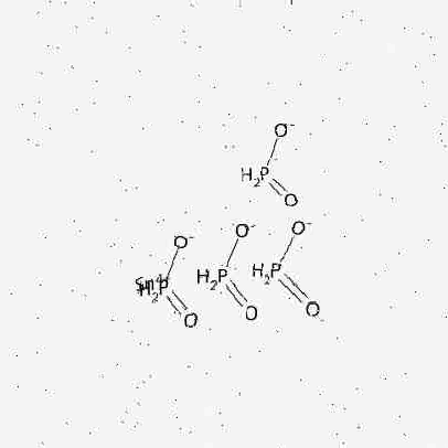 O=[PH2][O-].O=[PH2][O-].O=[PH2][O-].O=[PH2][O-].[Sn+4]